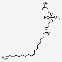 C=P(O)(OCCOC(=O)CCCCCCC/C=C\CCCCCCCC)OCCC(=O)O